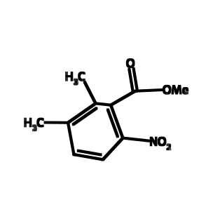 COC(=O)c1c([N+](=O)[O-])ccc(C)c1C